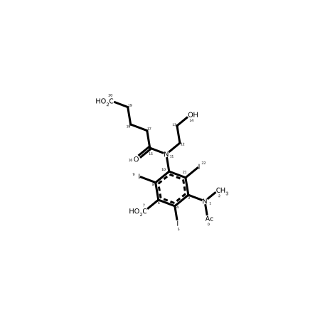 CC(=O)N(C)c1c(I)c(C(=O)O)c(I)c(N(CCO)C(=O)CCCC(=O)O)c1I